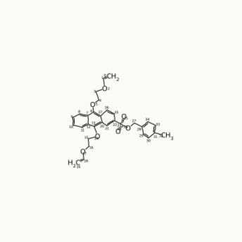 C=COCCOc1c2ccccc2c(OCCOC=C)c2cc(S(=O)(=O)OCc3ccc(C)cc3)ccc12